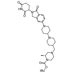 C[C@H]1CN(CC2CCN(C3CCN(c4ccc5c(c4)CN(C4CCC(=O)NC4=O)C5=O)CC3)CC2)CCN1C(=O)OC(C)(C)C